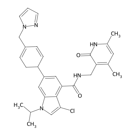 Cc1cc(C)c(CNC(=O)c2cc(C3C=CC(Cn4cccn4)=CC3)cc3c2c(Cl)cn3C(C)C)c(=O)[nH]1